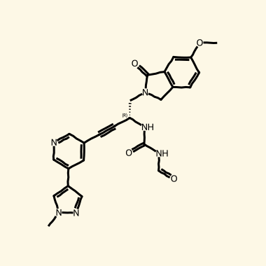 COc1ccc2c(c1)C(=O)N(C[C@@H](C#Cc1cncc(-c3cnn(C)c3)c1)NC(=O)NC=O)C2